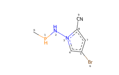 CPNn1cc(Br)cc1C#N